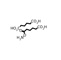 NOC(=O)CCCCC(=O)O.O=C(O)CCCCC(=O)O